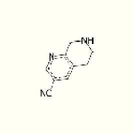 N#Cc1cnc2c(c1)CCNC2